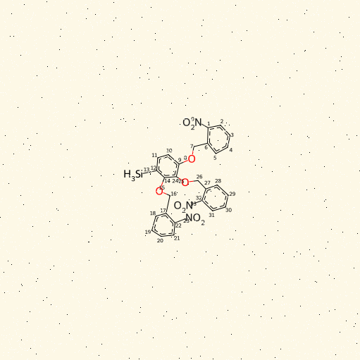 O=[N+]([O-])c1ccccc1COc1ccc([SiH3])c(OCc2ccccc2[N+](=O)[O-])c1OCc1ccccc1[N+](=O)[O-]